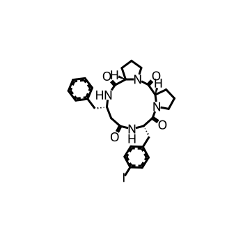 O=C1C[C@H](Cc2ccccc2)NC(=O)[C@@H]2CCCN2C(=O)[C@@H]2CCCN2C(=O)[C@H](Cc2ccc(I)cc2)N1